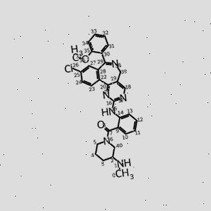 CNC1CCCN(C(=O)c2ccccc2Nc2ncc3c(n2)-c2ccc(Cl)cc2C(c2ccccc2OC)=NC3)C1